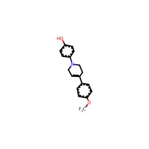 Oc1ccc(N2CC=C(c3ccc(OC(F)(F)F)cc3)CC2)cc1